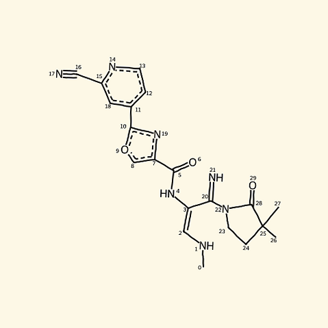 CN/C=C(/NC(=O)c1coc(-c2ccnc(C#N)c2)n1)C(=N)N1CCC(C)(C)C1=O